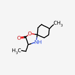 CCC1NC2(CCC(C)CC2)OC1=O